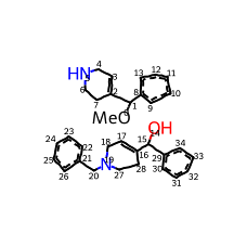 COC(C1=CCNCC1)c1ccccc1.OC(C1=CCN(Cc2ccccc2)CC1)c1ccccc1